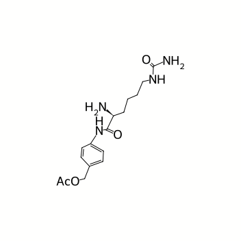 CC(=O)OCc1ccc(NC(=O)[C@@H](N)CCCCNC(N)=O)cc1